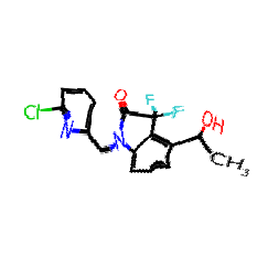 CC(O)c1cccc2c1C(F)(F)C(=O)N2Cc1cccc(Cl)n1